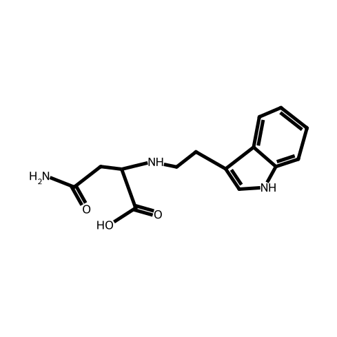 NC(=O)CC(NCCc1c[nH]c2ccccc12)C(=O)O